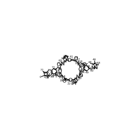 Cc1nn(Cc2ccc(C[C@H]3OC(=O)[C@H](CC(C)C)N(C)C(=O)[C@@H](C)OC(=O)[C@H](CC(C)C)N(C)C(=O)[C@@H](Cc4cccc(Cn5nc(C)c(C)c5C)c4)OC(=O)[C@H](CC(C)C)N(C)C(=O)[C@@H](C)OC(=O)[C@H](CC(C)C)N(C)C3=O)cc2)c(C)c1C